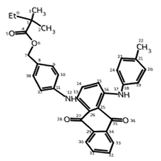 CCC(C)(C)C(=O)OCc1ccc(Nc2ccc(Nc3ccc(C)cc3)c3c2C(=O)c2ccccc2C3=O)cc1